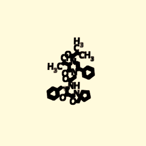 CC(C)C(=O)N1C=C(c2ccccc2)N(CC(=O)N[C@@H](Cc2ccccc2)C(=O)C2=NC3(CCCC3)CO2)C(=O)C1C(C)C